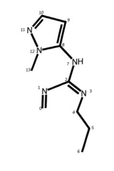 C=N/C(=N\CCC)Nc1ccnn1C